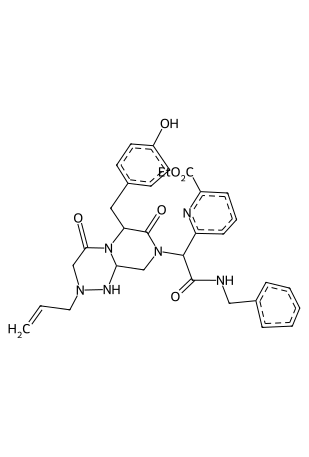 C=CCN1CC(=O)N2C(CN(C(C(=O)NCc3ccccc3)c3cccc(C(=O)OCC)n3)C(=O)C2Cc2ccc(O)cc2)N1